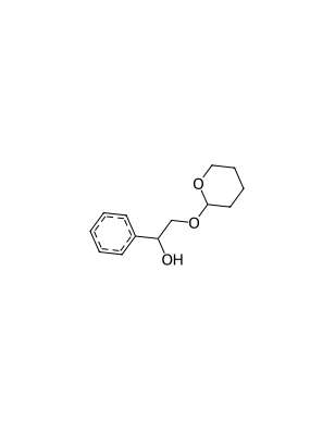 OC(COC1CCCCO1)c1ccccc1